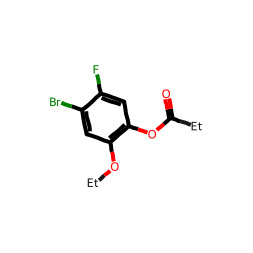 CCOc1cc(Br)c(F)cc1OC(=O)CC